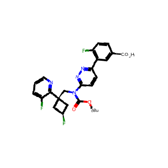 CC(C)(C)OC(=O)N(C[C@]1(c2ncccc2F)C[C@H](F)C1)c1ccc(-c2cc(C(=O)O)ccc2F)nn1